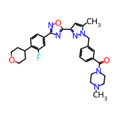 Cc1cc(-c2nc(-c3ccc(C4CCOCC4)c(F)c3)no2)nn1Cc1cccc(C(=O)N2CCN(C)CC2)c1